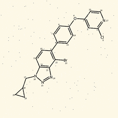 Clc1cc(Oc2ccc(-c3ccc4c(nnn4CC4CC4)c3Br)cc2)ccn1